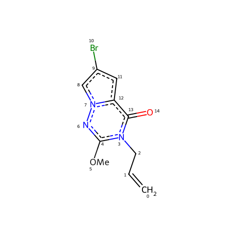 C=CCn1c(OC)nn2cc(Br)cc2c1=O